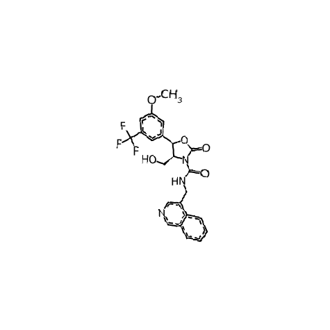 COc1cc(C2OC(=O)N(C(=O)NCc3cncc4ccccc34)[C@H]2CO)cc(C(F)(F)F)c1